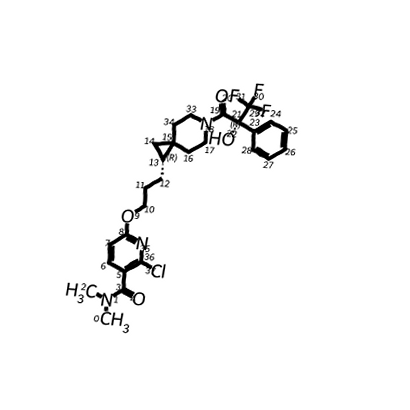 CN(C)C(=O)c1ccc(OCCC[C@@H]2CC23CCN(C(=O)[C@](O)(c2ccccc2)C(F)(F)F)CC3)nc1Cl